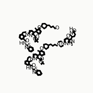 Cc1c(OC2CCC(CCCC=O)CC2)cccc1-c1ccc(N2CCc3cccc(C(=O)Nc4nc5ccccc5s4)c3C2)nc1C(=O)OC(C)(C)C.Cc1c(OC2CCC(CCCCN3CCN(c4ccc5c(C6CCC(=O)NC6=O)nn(C)c5n4)CC3)CC2)cccc1-c1ccc(N2CCc3cccc(C(=O)Nc4nc5ccccc5s4)c3C2)nc1C(=O)OC(C)(C)C